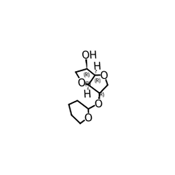 O[C@@H]1CO[C@H]2[C@@H]1OC[C@H]2OC1CCCCO1